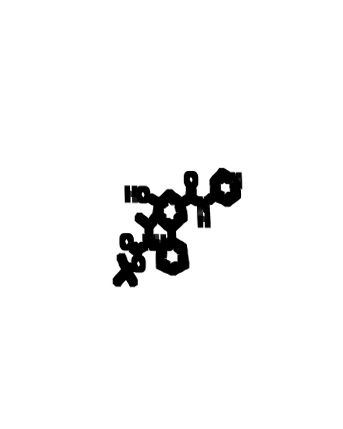 CC(NC(=O)OC(C)(C)C)c1c(O)cc(C(=O)Nc2ccncc2)cc1-c1ccccc1